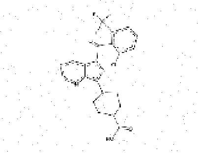 O=C(O)C1CCN(c2nn(C(=O)c3c(Cl)cccc3C(F)(F)F)c3cccnc23)CC1